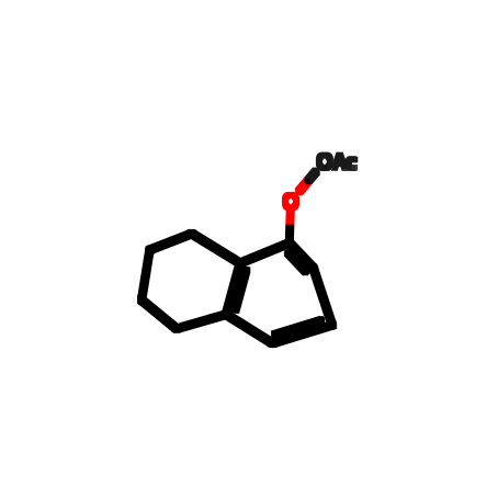 CC(=O)OOc1cccc2c1CCCC2